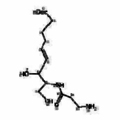 CCCCCCCCCCCCCC=CC(O)C(CO)NC(=O)CCN